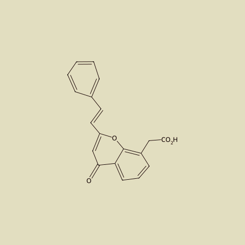 O=C(O)Cc1cccc2c(=O)cc(C=Cc3ccccc3)oc12